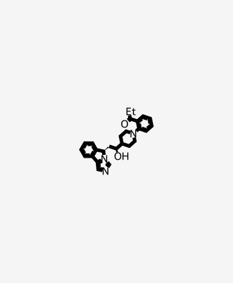 CCC(=O)c1ccccc1N1CCC([C@@H](O)C[C@H]2c3ccccc3-c3cncn32)CC1